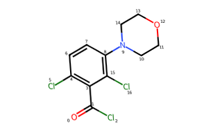 O=C(Cl)c1c(Cl)ccc(N2CCOCC2)c1Cl